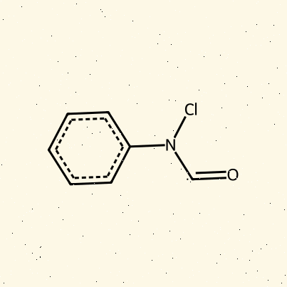 O=[C]N(Cl)c1ccccc1